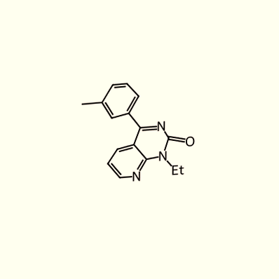 CCn1c(=O)nc(-c2cccc(C)c2)c2cccnc21